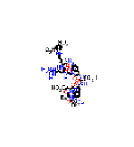 CCC[C@H](N)C(=O)N[C@H](C(=O)N[C@@H](CCC(=O)O)C(=O)N1C2CCCCC2C[C@H]1C(=O)N[C@@H](CC(=O)O)C(=O)N[C@@H](Cc1ccccc1)C(=O)NCC(=O)N[C@@H](CCCNC(=N)N)C(=O)N[C@@H](CCCCNc1ccc([N+](=O)[O-])cc1[N+](=O)[O-])C(N)=O)[C@@H](C)CC